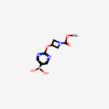 CC(C)(C)OC(=O)N1CC(Oc2ncc(B(O)O)cn2)C1